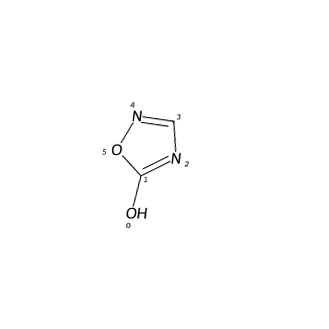 Oc1ncno1